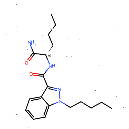 CCCCCn1nc(C(=O)N[C@@H](CCCC)C(N)=O)c2ccccc21